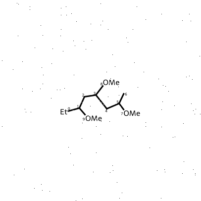 CCC(CC(CC(C)OC)OC)OC